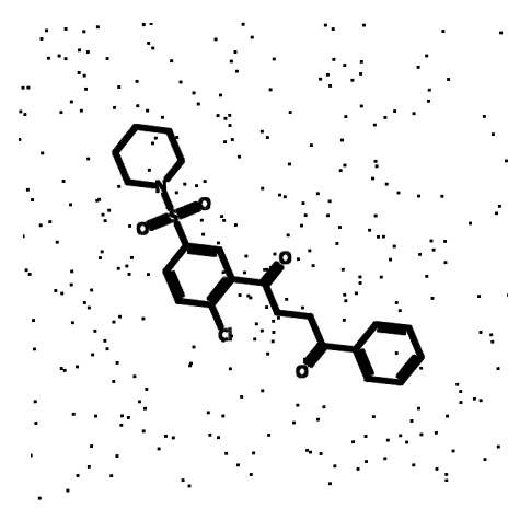 O=C(CCC(=O)c1cc(S(=O)(=O)N2CCCCC2)ccc1Cl)c1ccccc1